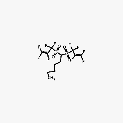 CCCCCC(S(=O)(=O)C(F)(F)C(F)=C(F)F)S(=O)(=O)C(F)(F)C(F)=C(F)F